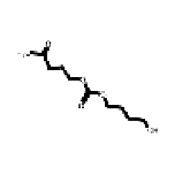 CC(=O)CCCOC(=O)OCCCCO